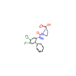 O=C(O)[C@H]1CCN1C(=O)Nc1cc(Cl)c(F)cc1-c1ccccc1